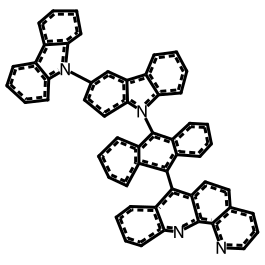 c1cnc2c(c1)ccc1c(-c3c4ccccc4c(-n4c5ccccc5c5cc(-n6c7ccccc7c7ccccc76)ccc54)c4ccccc34)c3ccccc3nc12